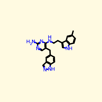 Cc1ccc2[nH]cc(CCNc3nc(N)ncc3Cc3ccc4[nH]ncc4c3)c2c1